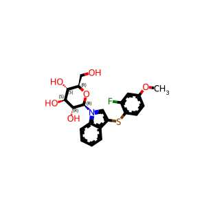 COc1ccc(Sc2cn([C@@H]3O[C@H](CO)[C@@H](O)[C@H](O)[C@H]3O)c3ccccc23)c(F)c1